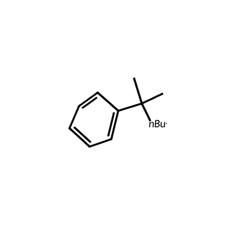 CCC[CH]C(C)(C)c1ccccc1